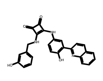 O=c1c(NCc2cccc(O)c2)c(Nc2ccc(O)c(-c3ccc4ccccc4n3)c2)c1=O